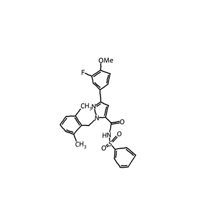 COc1ccc(-c2cc(C(=O)NS(=O)(=O)c3ccccc3)n(Cc3c(C)cccc3C)n2)cc1F